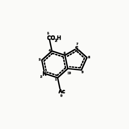 CC(=O)c1ncc(C(=O)O)c2sccc12